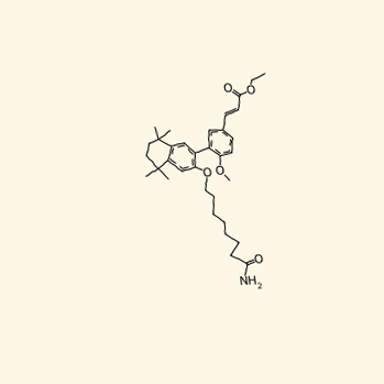 CCOC(=O)/C=C/c1ccc(OC)c(-c2cc3c(cc2OCCCCCCCC(N)=O)C(C)(C)CCC3(C)C)c1